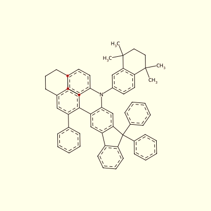 CC1(C)CCC(C)(C)c2cc(N(c3ccccc3)c3cc4c(cc3-c3cc5c(cc3-c3ccccc3)CCCC5)-c3ccccc3C4(c3ccccc3)c3ccccc3)ccc21